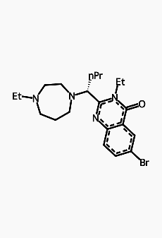 CCC[C@H](c1nc2ccc(Br)cc2c(=O)n1CC)N1CCCN(CC)CC1